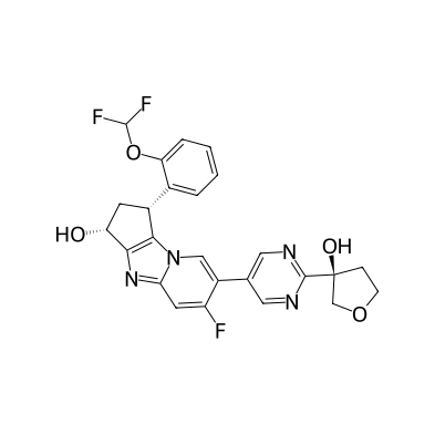 O[C@@H]1C[C@H](c2ccccc2OC(F)F)c2c1nc1cc(F)c(-c3cnc([C@]4(O)CCOC4)nc3)cn21